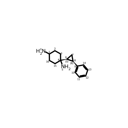 NC1CCC(N)([C@H]2C[C@H]2c2ccccc2)CC1